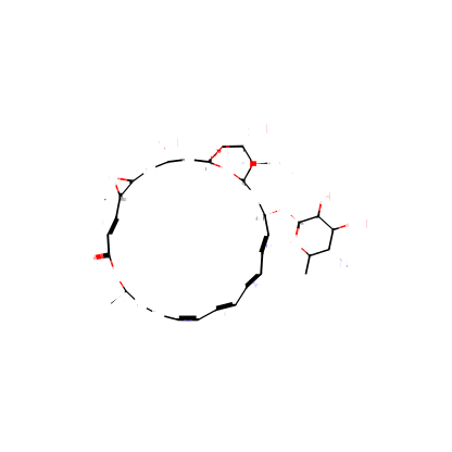 CC1O[C@@H](O[C@H]2/C=C/C=C/C=C/C=C\CC[C@@H](C)OC(=O)/C=C/[C@H]3OC3C[C@H](O)C[C@]3(O)C[C@H](O)[C@@H](C(=O)O)[C@H](C2)O3)C(O)C(O)[C@@H]1N